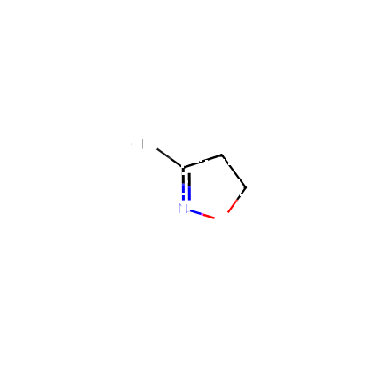 O=[C]C1=NOCC1